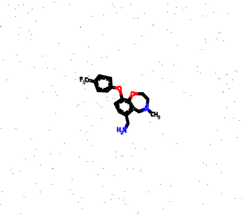 CN1CCOc2c(Oc3ccc(C(F)(F)F)cc3)ccc(CN)c2C1